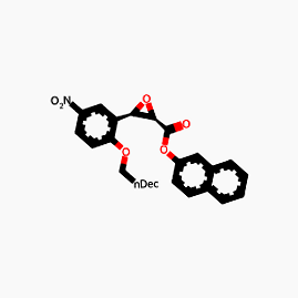 CCCCCCCCCCCOc1ccc([N+](=O)[O-])cc1[C@H]1O[C@H]1C(=O)Oc1ccc2ccccc2c1